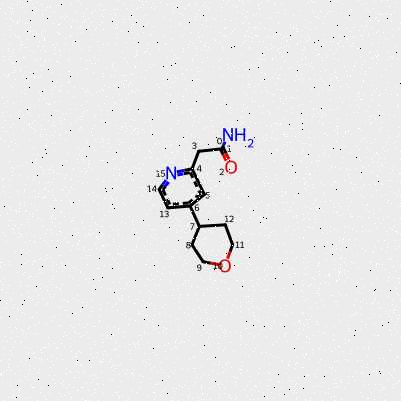 NC(=O)Cc1cc(C2CCOCC2)ccn1